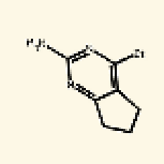 CCc1nc(N)nc2c1CCC2